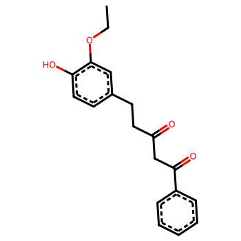 CCOc1cc(CCC(=O)CC(=O)c2ccccc2)ccc1O